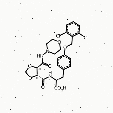 O=C(O)C(Cc1ccc(OCc2c(Cl)cccc2Cl)cc1)NC(=O)[C@@H]1OCO[C@H]1C(=O)NN1CCOCC1